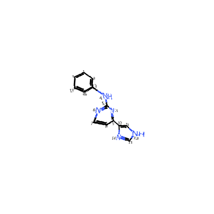 c1ccc(Nc2nccc(-c3c[nH]cn3)n2)cc1